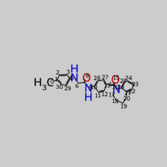 Cc1ccc(NCC(=O)Nc2ccc(C(=O)N3CCCCc4ccccc43)cc2)cc1